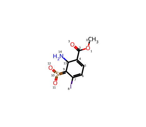 COC(=O)C1=CC=C(I)C(=S(=O)=O)C1N